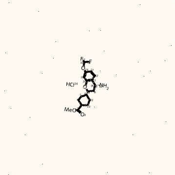 COC(=O)C1CCC([C@H]2C[C@@H](N)c3ccc(OC(F)F)cc3O2)CC1.Cl